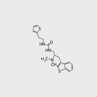 CN(C)C(CNC(=O)NCCc1cccs1)Cc1csc2ccccc12